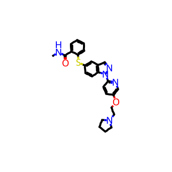 CNC(=O)c1ccccc1Sc1ccc2c(cnn2-c2ccc(OCCN3CCCC3)cn2)c1